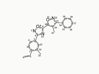 C=Cc1ccc(-c2noc(-c3onc(-c4ccccc4)c3C)n2)cc1C